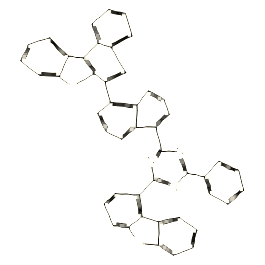 c1ccc(-c2nc(-c3cccc4c(-c5cc6ccccc6c6c5sc5ccccc56)cccc34)nc(-c3cccc4oc5ccccc5c34)n2)cc1